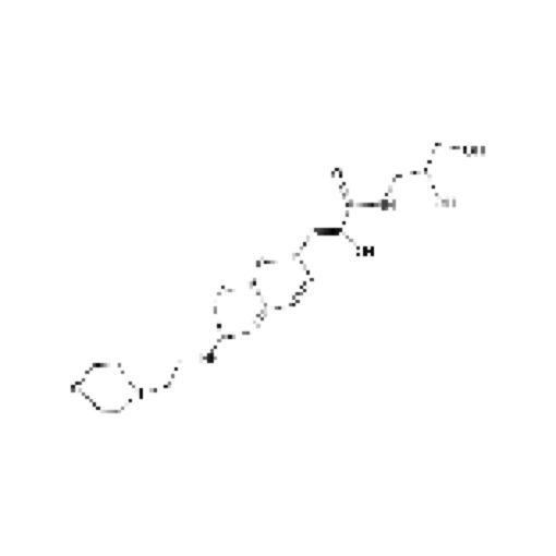 N#C/C(=C\c1ccc2c(c1)=CCC(NCCN1CCOCC1)C=2)C(=O)NCC(O)CO